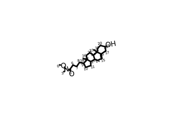 CON(C)C(=O)CCCC1CCC2C3CC=C4CC(O)CCC4(C)C3CCC12C